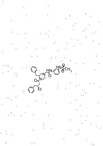 CCC(CC(=O)N1CCN(CC(=O)Nc2cccc(NS(C)(=O)=O)c2)CC1Cc1ccccc1)Cc1ccccc1